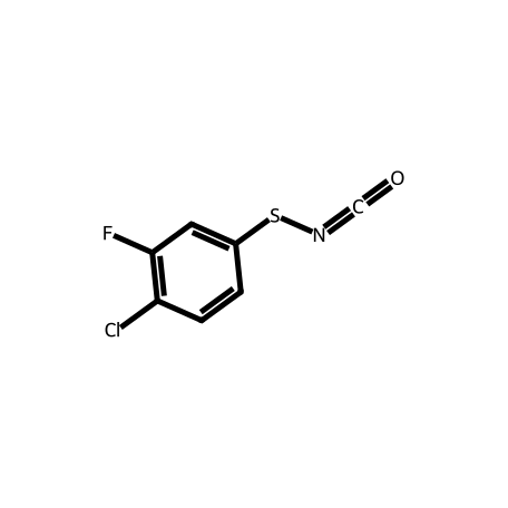 O=C=NSc1ccc(Cl)c(F)c1